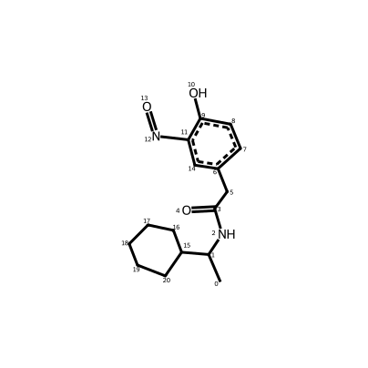 CC(NC(=O)Cc1ccc(O)c(N=O)c1)C1CCCCC1